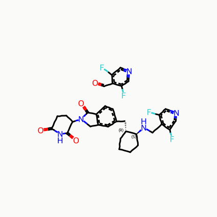 O=C1CCC(N2Cc3cc(C[C@H]4CCCC[C@@H]4NCc4c(F)cncc4F)ccc3C2=O)C(=O)N1.O=Cc1c(F)cncc1F